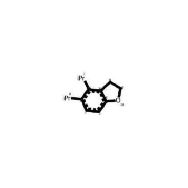 CC(C)c1ccc2c(c1C(C)C)CCO2